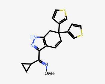 CON=C(c1n[nH]c2c1C=CC(c1ccsc1)(c1ccsc1)C2)C1CC1